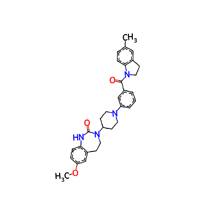 COc1ccc2c(c1)CCN(C1CCN(c3cccc(C(=O)N4CCc5cc(C)ccc54)c3)CC1)C(=O)N2